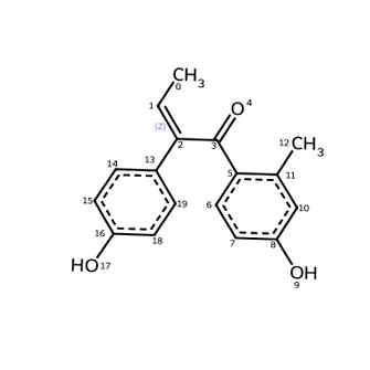 C/C=C(\C(=O)c1ccc(O)cc1C)c1ccc(O)cc1